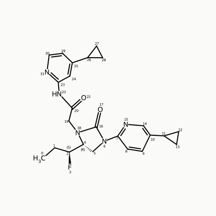 CC[C@H](F)[C@H]1CN(c2ccc(C3CC3)cn2)C(=O)N1CC(=O)Nc1cc(C2CC2)ccn1